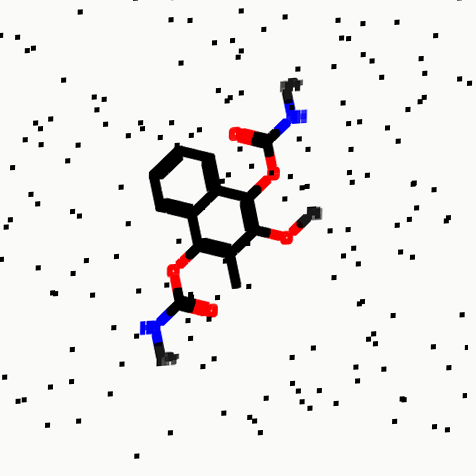 CCCNC(=O)Oc1c(C)c(OCC)c(OC(=O)NCCC)c2ccccc12